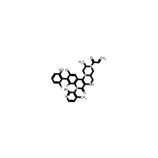 C=CC(=O)N1CC2CNc3c(c4cc(Cl)c(-c5c(O)cccc5F)c(F)c4n(-c4c(C)ccnc4C(C)C)c3=O)N2CC1C